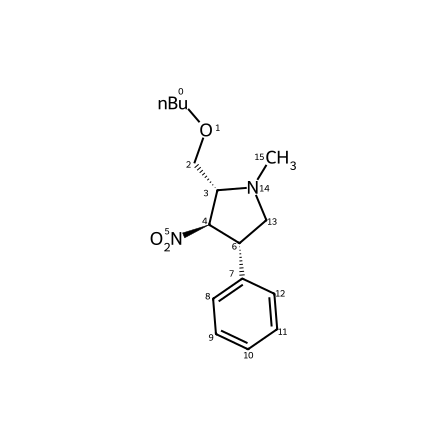 CCCCOC[C@H]1[C@H]([N+](=O)[O-])[C@@H](c2ccccc2)CN1C